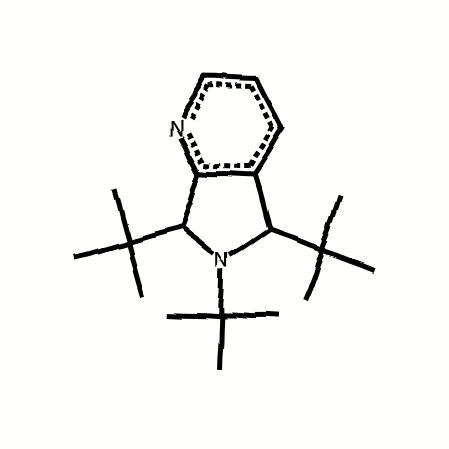 CC(C)(C)C1c2cccnc2C(C(C)(C)C)N1C(C)(C)C